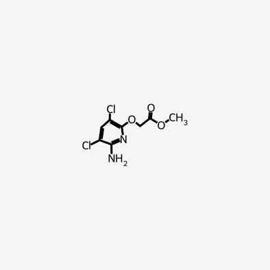 COC(=O)COc1nc(N)c(Cl)cc1Cl